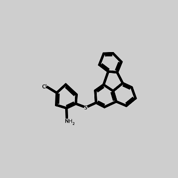 Nc1cc(Cl)ccc1Sc1cc2c3c(cccc3c1)-c1ccccc1-2